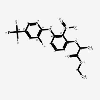 CCOC(=O)C(C)Oc1cccc(Oc2ncc(C(F)(F)F)cc2F)c1[N+](=O)[O-]